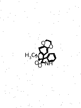 CN1C(=O)C2(C(=O)Nc3ccccc32)c2cc3c(cc21)OCCO3